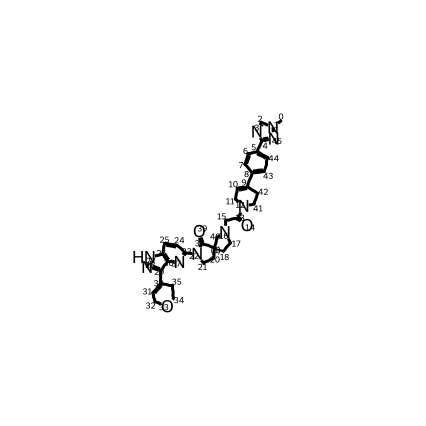 Cn1cnc(-c2ccc(C3=CCN(C(=O)CN4CC[C@]5(CCN(c6ccc7[nH]nc(C8=CCOCC8)c7n6)C5=O)C4)CC3)cc2)n1